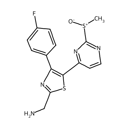 C[S+]([O-])c1nccc(-c2sc(CN)nc2-c2ccc(F)cc2)n1